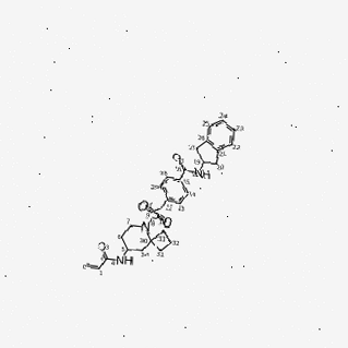 C=CC(=O)NC1CCN(S(=O)(=O)c2ccc(C(=O)NC3Cc4ccccc4C3)cc2)C2(CCC2)C1